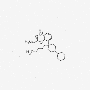 C=CC(=O)Oc1c(C)cccc1C1(CCCCC)CCC(C2CCCCC2)CC1